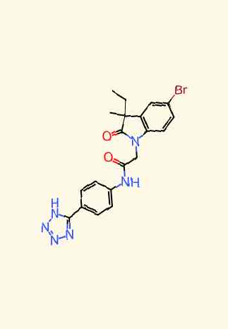 CCC1(C)C(=O)N(CC(=O)Nc2ccc(-c3nnn[nH]3)cc2)c2ccc(Br)cc21